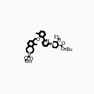 CCO[C@@H]1CN(c2cccc(-c3cccc(C)c3OCc3ccc4c(c3C)CCN(C(=O)OC(C)(C)C)CC4)n2)CC[C@@H]1C(=O)OC(C)(C)C